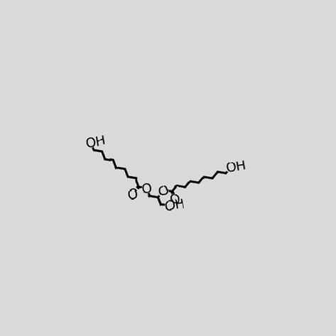 O=C(CCCCCCCCO)OCC(CO)OC(=O)CCCCCCCCO